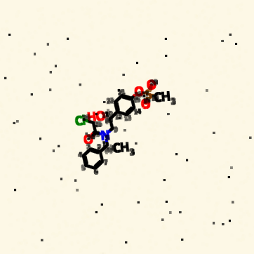 C[C@H](c1ccccc1)N(C[C@H](O)c1ccc(OS(C)(=O)=O)cc1)C(=O)CCl